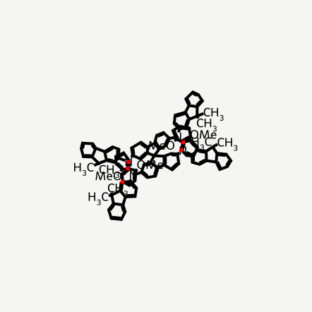 COc1ccccc1N(c1ccc2c(c1)C(C)(C)c1ccccc1-2)c1ccc2c(c1)C1(c3cc(N(c4ccc5c(c4)C(C)(C)c4ccccc4-5)c4ccccc4OC)ccc3-2)c2cc(N(c3ccc4c(c3)C(C)(C)c3ccccc3-4)c3ccccc3OC)ccc2-c2ccc(N(c3ccc4c(c3)C(C)(C)c3ccccc3-4)c3ccccc3OC)cc21